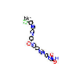 N#Cc1ccc(N2CCC3(CCN(c4ccc(C(=O)N5CCC6(CCC(N7CCN(c8ccc(N9CCC(=O)NC9=O)cc8)CC7)CC6)CC5)cc4)CC3)C2)cc1Cl